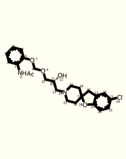 CC(=O)Nc1ccccc1OCOC[C@H](O)CN1CCC2(CC1)Cc1cc(Cl)ccc1O2